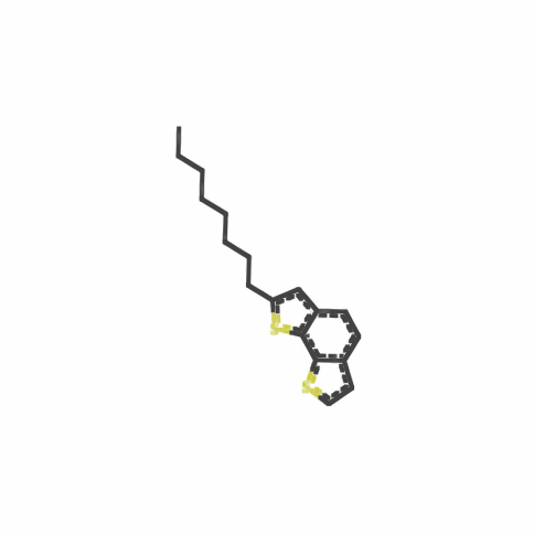 CCCCCCCCc1cc2ccc3ccsc3c2s1